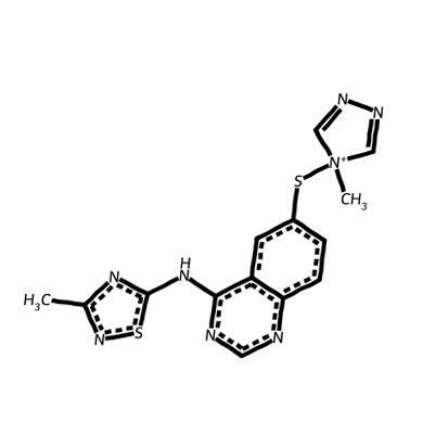 Cc1nsc(Nc2ncnc3ccc(S[N+]4(C)C=NN=C4)cc23)n1